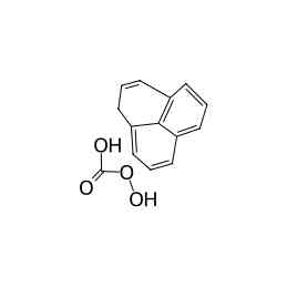 C1=Cc2cccc3cccc(c23)C1.O=C(O)OO